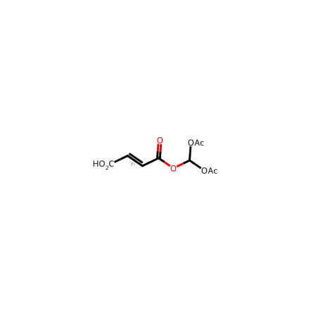 CC(=O)OC(OC(C)=O)OC(=O)/C=C/C(=O)O